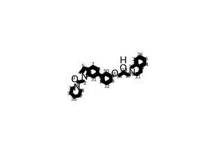 O=C(Cn1ccc2ccc(-c3cccc(OCC(O)CN4CCc5ccccc5C4)c3)cc21)N1CCCCC1